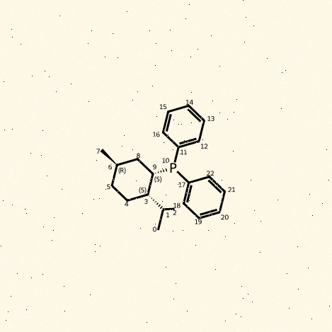 CC(C)[C@@H]1CC[C@@H](C)C[C@@H]1P(c1ccccc1)c1ccccc1